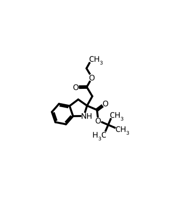 CCOC(=O)CC1(C(=O)OC(C)(C)C)Cc2ccccc2N1